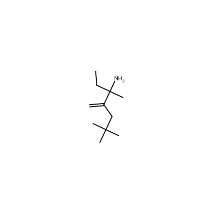 C=C(CC(C)(C)C)C(C)(N)CC